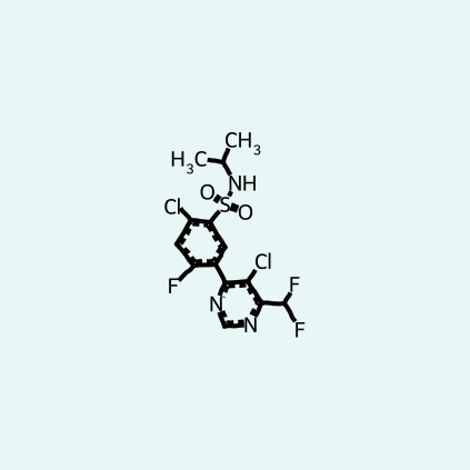 CC(C)NS(=O)(=O)c1cc(-c2ncnc(C(F)F)c2Cl)c(F)cc1Cl